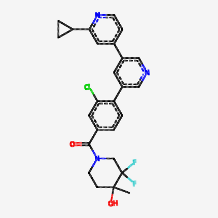 CC1(O)CCN(C(=O)c2ccc(-c3cncc(-c4ccnc(C5CC5)c4)c3)c(Cl)c2)CC1(F)F